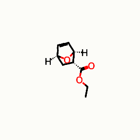 CCOC(=O)[C@@H]1C[C@H]2C=C[C@@H]1O2